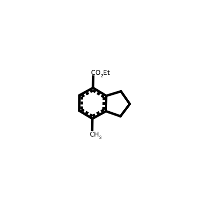 CCOC(=O)c1ccc(C)c2c1CCC2